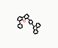 c1ccc(-c2cccc3c2oc2c(-c4ccc(-c5cc6ccccc6c6ccccc56)cc4)cccc23)cc1